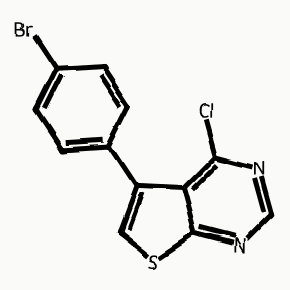 Clc1ncnc2scc(-c3ccc(Br)cc3)c12